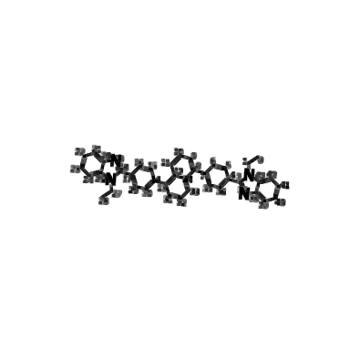 CCn1c(-c2ccc(-c3cccc4c(-c5ccc(-c6nc7ccccc7n6CC)cc5)cccc34)cc2)nc2ccccc21